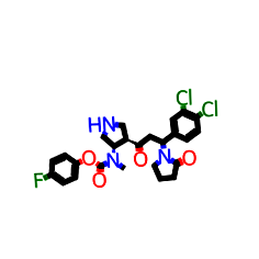 CN(C(=O)Oc1ccc(F)cc1)[C@H]1CNC[C@H]1C(=O)CC(c1ccc(Cl)c(Cl)c1)N1CCCC1=O